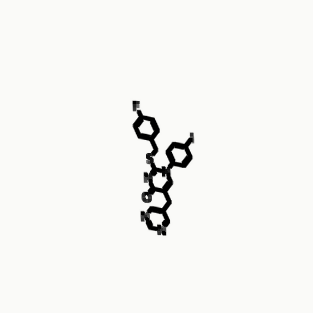 O=c1nc(SCc2ccc(F)cc2)n(-c2ccc(I)cc2)cc1Cc1cncnc1